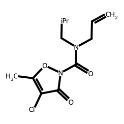 C=CCN(CC(C)C)C(=O)n1oc(C)c(Cl)c1=O